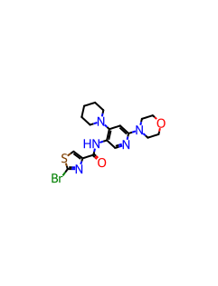 O=C(Nc1cnc(N2CCOCC2)cc1N1CCCCC1)c1csc(Br)n1